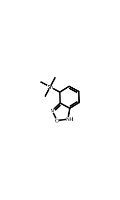 [CH3][Sn]([CH3])([CH3])[C]1C=CC=C2NON=C12